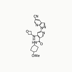 COC1CCC(NC(=O)c2cnc(-n3ncc4cc(C#N)cnc43)cc2NC2COC2)CC1